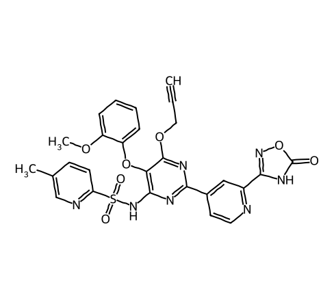 C#CCOc1nc(-c2ccnc(-c3noc(=O)[nH]3)c2)nc(NS(=O)(=O)c2ccc(C)cn2)c1Oc1ccccc1OC